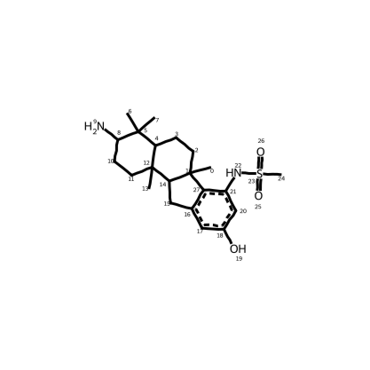 CC12CCC3C(C)(C)C(N)CCC3(C)C1Cc1cc(O)cc(NS(C)(=O)=O)c12